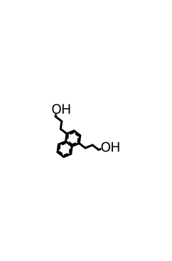 OCCCc1ccc(CCCO)c2ccccc12